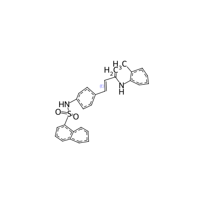 C=C(/C=C/c1ccc(NS(=O)(=O)c2cccc3ccccc23)cc1)Nc1ccccc1C